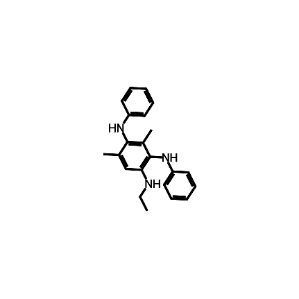 CCNc1cc(C)c(Nc2ccccc2)c(C)c1Nc1ccccc1